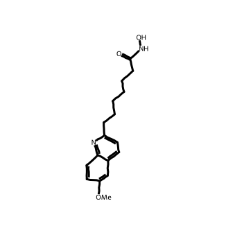 COc1ccc2nc(CCCCCCC(=O)NO)ccc2c1